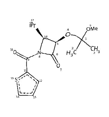 COC(C)(C)O[C@H]1C(=O)N(C(=O)c2cccs2)[C@H]1C(C)C